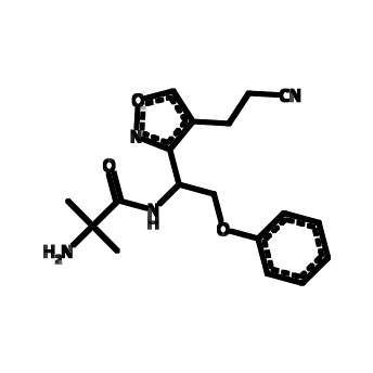 CC(C)(N)C(=O)NC(COc1ccccc1)c1nocc1CCC#N